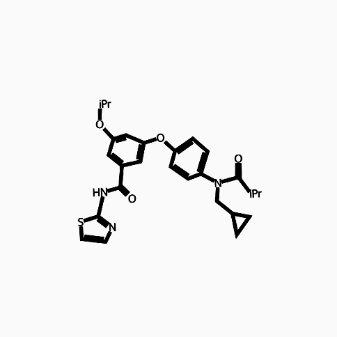 CC(C)Oc1cc(Oc2ccc(N(CC3CC3)C(=O)C(C)C)cc2)cc(C(=O)Nc2nccs2)c1